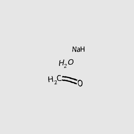 C=O.O.[NaH]